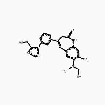 Cc1cc2c(cc1N(C)CC(C)C)N=C(c1cccc(-n3ncnc3CO)c1)CC(=O)N2